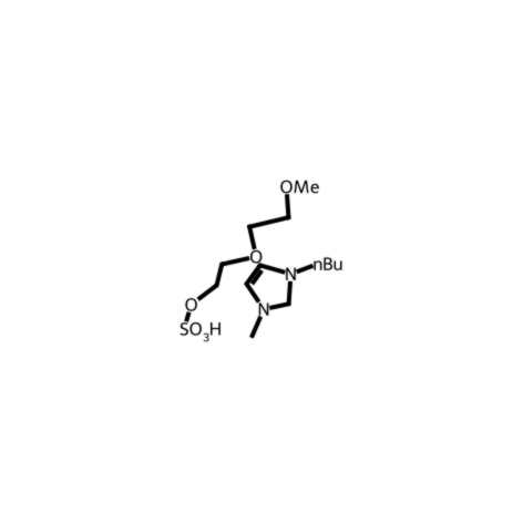 CCCCN1C=CN(C)C1.COCCOCCOS(=O)(=O)O